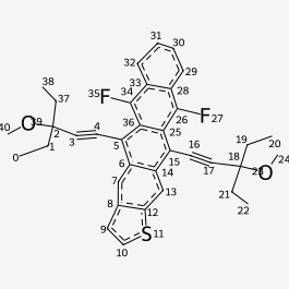 CCC(C#Cc1c2cc3ccsc3cc2c(C#CC(CC)(CC)OC)c2c(F)c3ccccc3c(F)c12)(CC)OC